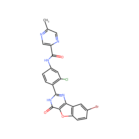 Cc1cnc(C(=O)Nc2ccc(-c3nc4c(oc5ccc(Br)cc54)c(=O)[nH]3)c(Cl)c2)cn1